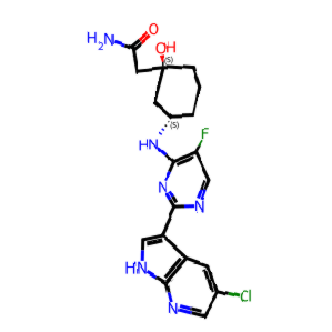 NC(=O)C[C@]1(O)CCC[C@H](Nc2nc(-c3c[nH]c4ncc(Cl)cc34)ncc2F)C1